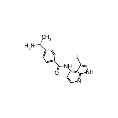 C[C@@H](N)c1ccc(C(=O)Nc2ccnc3[nH]cc(I)c23)cc1